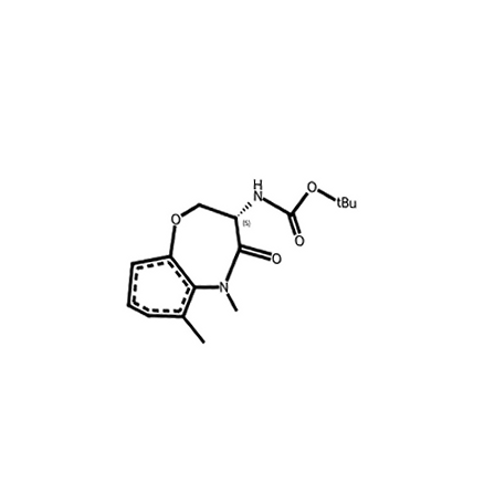 Cc1cccc2c1N(C)C(=O)[C@@H](NC(=O)OC(C)(C)C)CO2